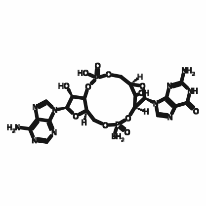 BP1(=O)OC[C@H]2O[C@@H](n3cnc4c(N)ncnc43)[C@@H](O)C2OP(=O)(O)OC[C@H]2O[C@@H](n3cnc4c(=O)[nH]c(N)nc43)[C@@H](O1)C2O